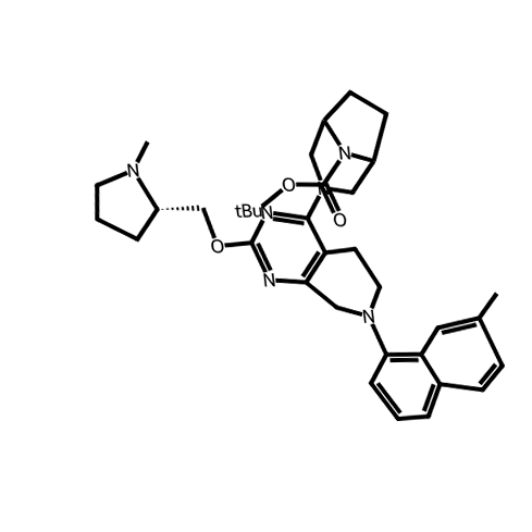 Cc1ccc2cccc(N3CCc4c(nc(OC[C@@H]5CCCN5C)nc4N4CC5CCC(C4)N5C(=O)OC(C)(C)C)C3)c2c1